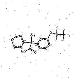 CC(C)(C)[Si](C)(C)Oc1cccc(C(O)(C(=O)O)c2ccccc2)c1